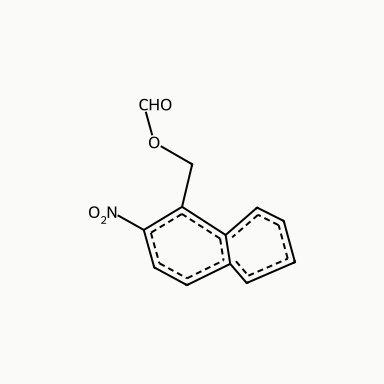 O=COCc1c([N+](=O)[O-])ccc2ccccc12